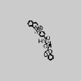 O=C(Nc1nnc(C2COc3ccccc3O2)o1)c1ccc(S(=O)(=O)N2CCc3ccccc3C2)cc1